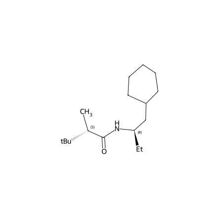 CC[C@H](CC1CCCCC1)NC(=O)[C@@H](C)C(C)(C)C